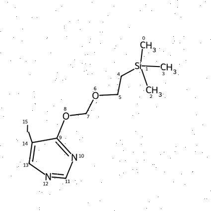 C[Si](C)(C)CCOCOc1ncncc1I